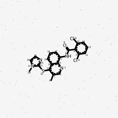 Cc1cnc2c(NC(=O)c3c(Cl)cccc3Cl)cccc2c1Sc1nccn1C